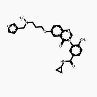 Cc1ccc(C(=O)NC2CC2)cc1-n1cnc2ccc(OCCCN(C)Cc3ccoc3)cc2c1=O